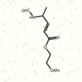 COCCOC(=O)/C=C/C(C)NC=O